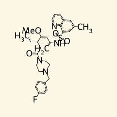 C=C(/C=C(OC)\C(=C/C)CC(=O)N1CCN(Cc2ccc(F)cc2)CC1)NS(=O)(=O)c1cc(C)cc2cccnc12